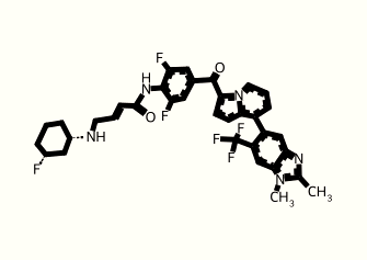 Cc1nc2cc(-c3cccn4c(C(=O)c5cc(F)c(NC(=O)/C=C/CN[C@H]6CCC[C@@H](F)C6)c(F)c5)ccc34)c(C(F)(F)F)cc2n1C